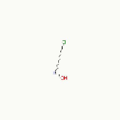 OCC/C=C\CCCCCCCCCCCCl